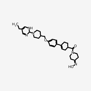 CCC1=CNC(N2CCC(COc3ccc(C4=CCC(C(=O)N5CCC(=NO)CC5)CC4)cc3)CC2)N=C1